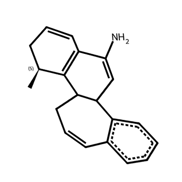 C[C@H]1CC=CC2=C1C1CC=Cc3ccccc3C1C=C2N